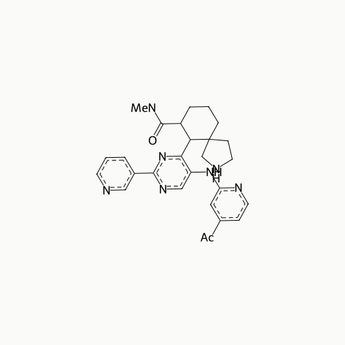 CNC(=O)C1CCCC2(CCNC2)C1c1nc(-c2cccnc2)ncc1Nc1cc(C(C)=O)ccn1